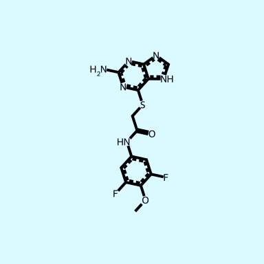 COc1c(F)cc(NC(=O)CSc2nc(N)nc3nc[nH]c23)cc1F